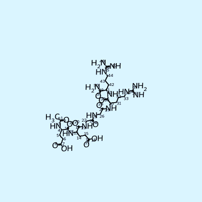 CC(=O)NC(CCC(=O)O)C(=O)NC(CCC(=O)O)C(=O)NCC(=O)NCC(=O)NC(CCCNC(=N)N)C(=O)NC(CCCNC(=N)N)C(N)=O